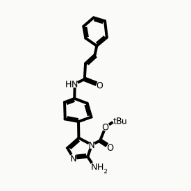 CC(C)(C)OC(=O)n1c(-c2ccc(NC(=O)C=Cc3ccccc3)cc2)cnc1N